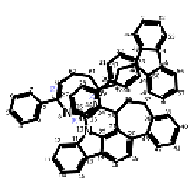 C1=C(c2ccccc2)/N=C(n2c3ccccc3c3ccc4c(c32)C(c2ccccc2-c2ccccc2)CCc2ccccc2-4)\N=C(\CCC2c3ccccc3-c3ccccc32)CC\1